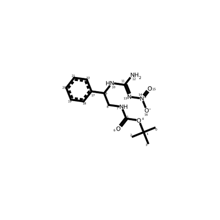 CC(C)(C)OC(=O)NCC(NC(N)=N[N+](=O)[O-])c1ccccc1